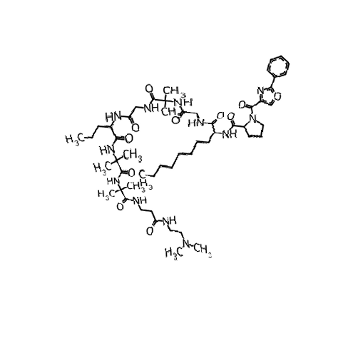 CCCCCCCCC(NC(=O)C1CCCN1C(=O)c1coc(-c2ccccc2)n1)C(=O)NCC(=O)NC(C)(C)C(=O)NCC(=O)NC(CCC)C(=O)NC(C)(C)C(=O)NC(C)(C)C(=O)NCCC(=O)NCCN(C)C